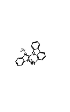 CC(C)c1cccc2c3ccccc3n(-c3n(C(C)C)c4ccccc4[n+]3C(C)C)c12